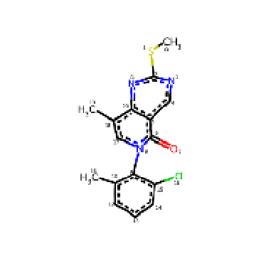 CSc1ncc2c(=O)n(-c3c(C)cccc3Cl)cc(C)c2n1